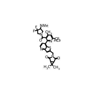 CNC1CN(C(=O)c2c(C)cc(C(F)(F)F)nc2-c2ccnc3cc(CN4C(=O)C5C(C4=O)C5(C)C)sc23)CC1(F)F.Cl